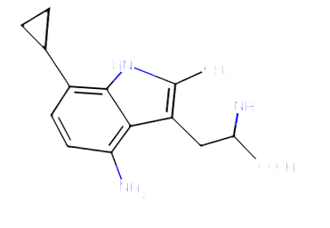 Cc1[nH]c2c(C3CC3)ccc(N)c2c1CC(N)C(=O)O